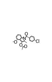 COc1cccc2c1c(OC(C)=O)c(C)n2C(=O)c1ccc(Cl)cc1